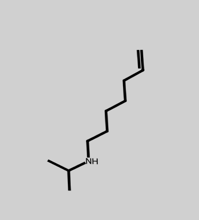 C=CCCCCCNC(C)C